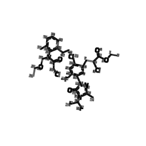 CCOC(=O)C(Cl)Cc1cc(-n2nc(C)n(C(F)F)c2=O)c(F)cc1Cl.CCOCN(C(=O)CCl)c1c(C)cccc1CC